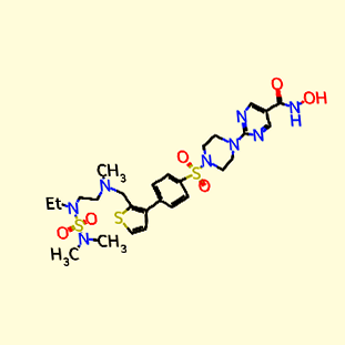 CCN(CCN(C)Cc1sccc1-c1ccc(S(=O)(=O)N2CCN(c3ncc(C(=O)NO)cn3)CC2)cc1)S(=O)(=O)N(C)C